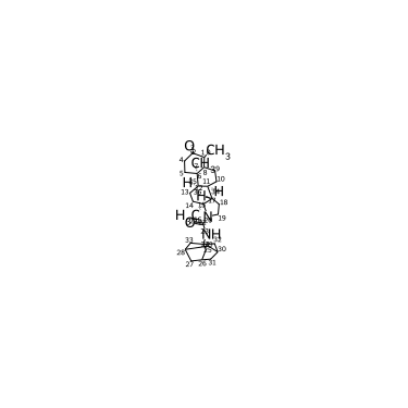 CC1C(=O)CC[C@@]2(C)C1CC[C@@H]1[C@H]2CC[C@@]2(C)[C@H]1CCN2C(=O)NC12CC3CC(CC(C3)C1)C2